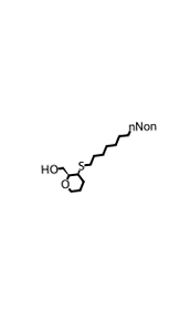 CCCCCCCCCCCCCCCCS[C@H]1CCCO[C@H]1CO